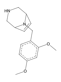 COc1ccc(CN2C3C=CC2CNC3)c(OC)c1